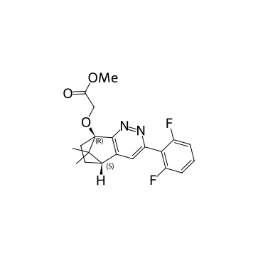 COC(=O)CO[C@@]12CC[C@@H](c3cc(-c4c(F)cccc4F)nnc31)C2(C)C